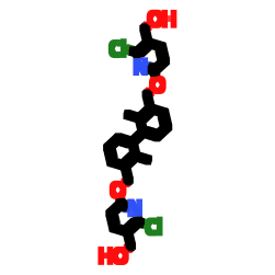 Cc1c(COc2ccc(CO)c(Cl)n2)cccc1-c1cccc(COc2ccc(CO)c(Cl)n2)c1C